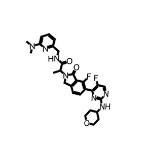 CC(C(=O)NCc1cccc(N(C)C)n1)N1Cc2ccc(-c3nc(NC4CCOCC4)ncc3F)c(F)c2C1=O